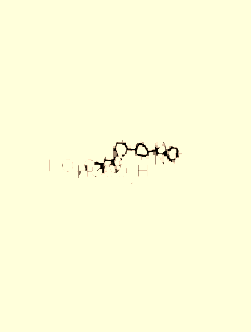 O=C(O)CC(O)(CC(=O)N1CCC=C(c2ccc(-c3nc4ccccc4o3)cc2)C1)C(=O)O